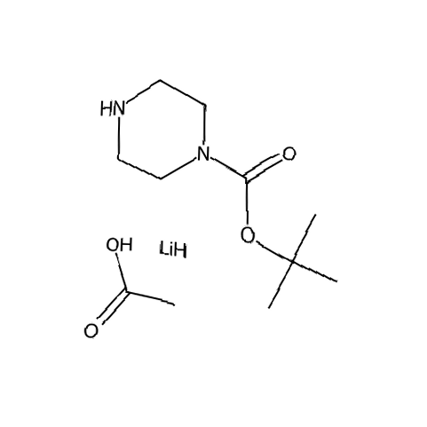 CC(=O)O.CC(C)(C)OC(=O)N1CCNCC1.[LiH]